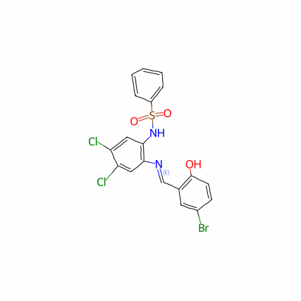 O=S(=O)(Nc1cc(Cl)c(Cl)cc1/N=C/c1cc(Br)ccc1O)c1ccccc1